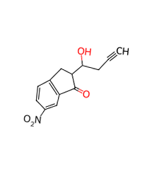 C#CCC(O)C1Cc2ccc([N+](=O)[O-])cc2C1=O